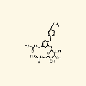 CCc1ccc(Cc2ccc(COC(C)=O)cc2O[C@H]2O[C@H](COC(C)=O)[C@@H](O)[C@H](O)[C@H]2O)cc1